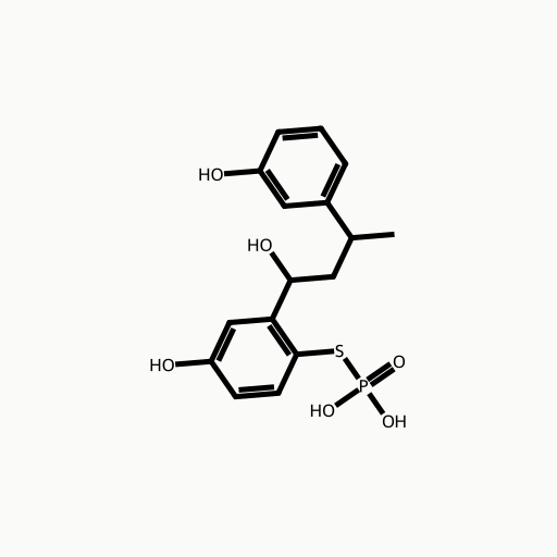 CC(CC(O)c1cc(O)ccc1SP(=O)(O)O)c1cccc(O)c1